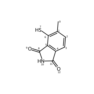 Cc1ccc2c(c1S)C(=O)NC2=O